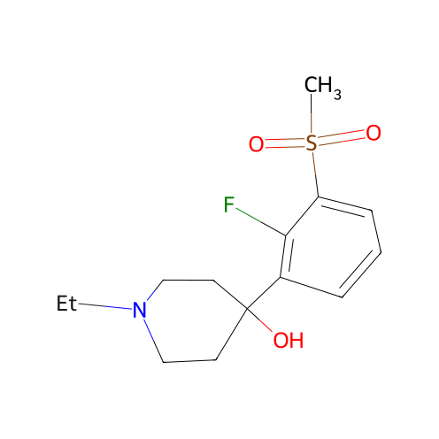 CCN1CCC(O)(c2cccc(S(C)(=O)=O)c2F)CC1